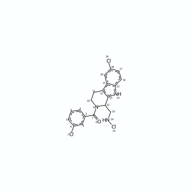 O=C(c1cccc(Cl)c1)N1CCc2c([nH]c3ccc(Cl)cc23)C1CNCl